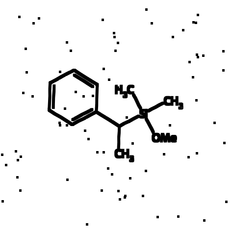 CO[Si](C)(C)C(C)c1ccccc1